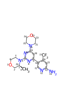 C[C@H]1COCCN1c1nc(-c2cnc(N)cc2C(F)(F)F)cc(N2CCOCC2)n1